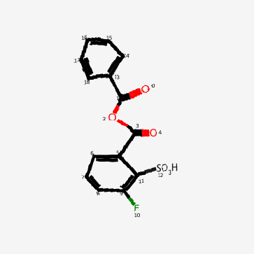 O=C(OC(=O)c1cccc(F)c1S(=O)(=O)O)c1ccccc1